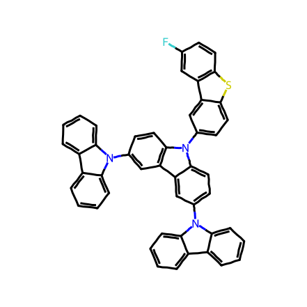 Fc1ccc2sc3ccc(-n4c5ccc(-n6c7ccccc7c7ccccc76)cc5c5cc(-n6c7ccccc7c7ccccc76)ccc54)cc3c2c1